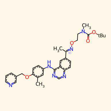 C/C(=N\OCCN(C)C(=O)OC(C)(C)C)c1ccc2ncnc(Nc3ccc(OCc4cccnc4)c(C)c3)c2c1